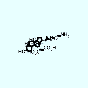 CC(/C=N/OCCN)=C\[C@H]1CC[C@]2(O)[C@@H]3CC[C@@H]4C[C@@H](O)CC[C@]4(C)[C@H]3CC[C@]12C.O=C(O)/C=C/C(=O)O